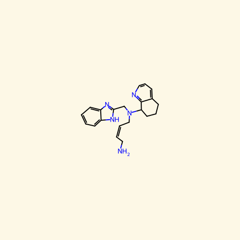 NC/C=C\CN(Cc1nc2ccccc2[nH]1)C1CCCc2cccnc21